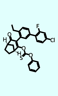 CCc1ccc(-c2ccc(Cl)cc2F)cc1C1=C(OC(=S)Oc2ccccc2)[C@H]2CC[C@H](C2)C1=O